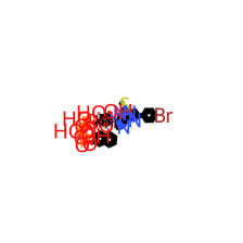 CSc1nc2c(ncn2[C@@H]2O[C@H](COP(=O)(O)OP(=O)(O)OP(=O)(O)Oc3ccc4ccccc4c3)[C@H](O)C2O)c2nc(-c3ccc(Br)cc3)cn12